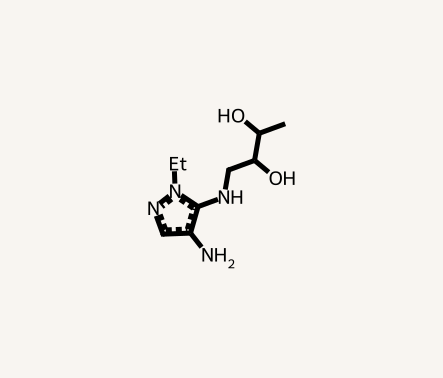 CCn1ncc(N)c1NCC(O)C(C)O